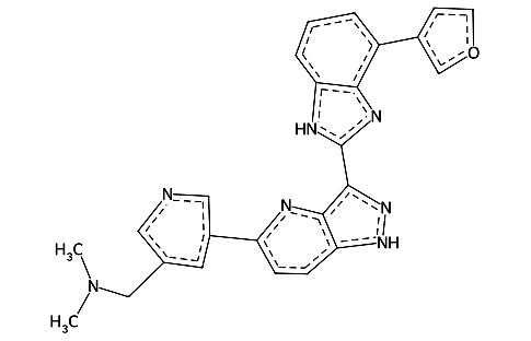 CN(C)Cc1cncc(-c2ccc3[nH]nc(-c4nc5c(-c6ccoc6)cccc5[nH]4)c3n2)c1